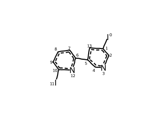 Ic1cncc(-c2cccc(I)n2)c1